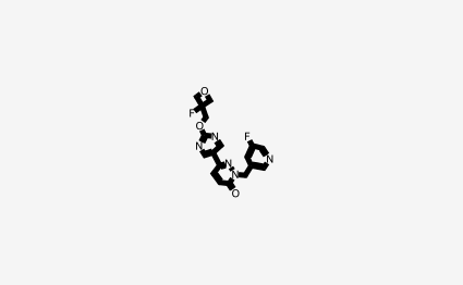 O=c1ccc(-c2cnc(OCC3(F)COC3)nc2)nn1Cc1cncc(F)c1